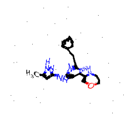 Cc1cc(NC2=CC(C3COCCN3)NC(/C=C/c3ccccc3)=N2)n[nH]1